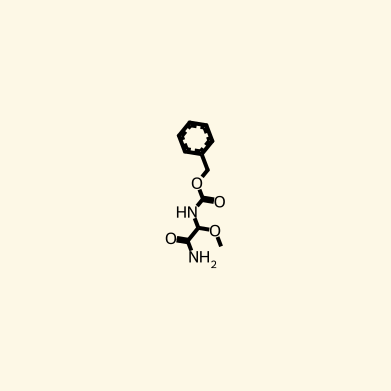 COC(NC(=O)OCc1ccccc1)C(N)=O